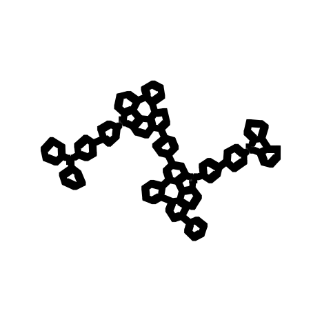 c1ccc(-c2ccc3c4c2ccc2c4c4c(cc(-c5ccc(-c6ccc7c8c6ccc6c8c8c(cccc8n6-c6ccc(-c8ccc(N(c9ccccc9)c9ccccc9)cc8)cc6)-c6ccccc6-7)cc5)cc4n2-c2ccc(-c4ccc(-n5c6ccccc6c6ccccc65)cc4)cc2)-c2ccccc2-3)cc1